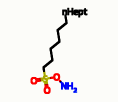 CCCCCCCCCCCCCS(=O)(=O)ON